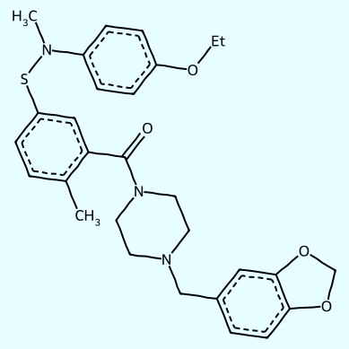 CCOc1ccc(N(C)Sc2ccc(C)c(C(=O)N3CCN(Cc4ccc5c(c4)OCO5)CC3)c2)cc1